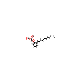 CCCCCCCCCc1ccccc1OCC(=O)O